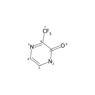 O=C1[N][C]=CN=C1C(F)(F)F